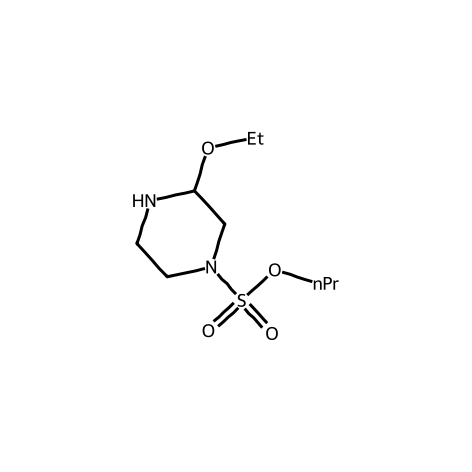 CCCOS(=O)(=O)N1CCNC(OCC)C1